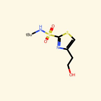 CC(C)(C)NS(=O)(=O)c1nc(CCO)cs1